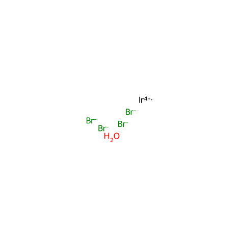 O.[Br-].[Br-].[Br-].[Br-].[Ir+4]